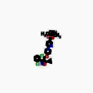 CC1(C)OB(c2ccc(N3CCC(OCc4c(-c5c(Cl)cccc5Cl)noc4C4CC4)CC3)nc2)OC1(C)C